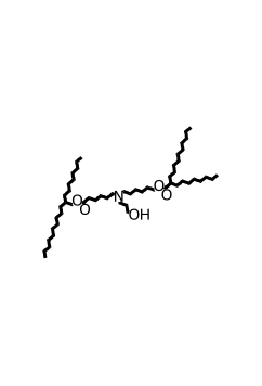 CCCCCCCCCCC(CCCCCCCC)COC(=O)CCCCCN(CCCO)CCCCCCOC(=O)C(CCCCCCCC)CCCCCCCCCC